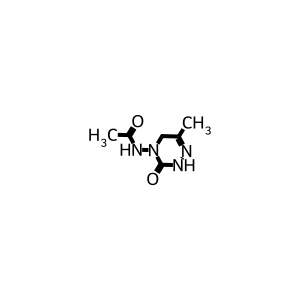 CC(=O)NN1CC(C)=NNC1=O